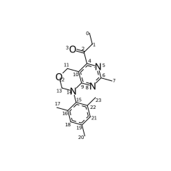 CCC(=O)c1nc(C)nc2c1COCN2c1c(C)cc(C)cc1C